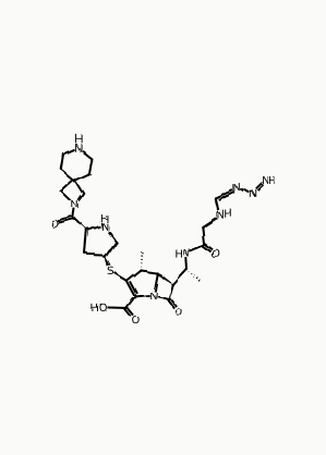 C[C@H]1C(S[C@@H]2CN[C@H](C(=O)N3CC4(CCNCC4)C3)C2)=C(C(=O)O)N2C(=O)[C@H]([C@@H](C)NC(=O)CN/C=N\N=N)C12